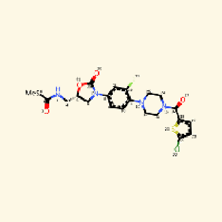 CSC(=O)NC[C@H]1CN(c2ccc(N3CCN(C(=O)c4ccc(Cl)s4)CC3)c(F)c2)C(=O)O1